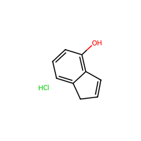 Cl.Oc1cccc2c1C=CC2